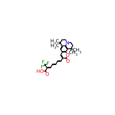 CC1(C)CCN2CCC(C)(C)c3c2c1cc1cc(C=CC=CC=C(C(=O)O)C(F)(F)F)c(=O)oc31